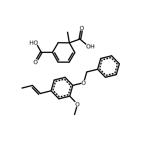 CC1(C(=O)O)C=CC=C(C(=O)O)C1.CC=Cc1ccc(OCc2ccccc2)c(OC)c1